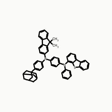 CC1(C)c2ccccc2-c2ccc(N(c3ccc(N(c4ccccc4)c4cccc5c4sc4ccccc45)cc3)c3ccc(C45CC6CC(CC(C6)C4)C5)cc3)cc21